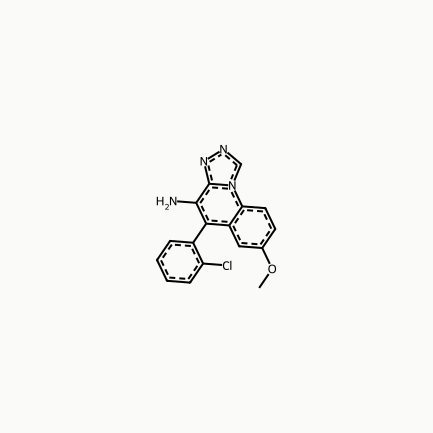 COc1ccc2c(c1)c(-c1ccccc1Cl)c(N)c1nncn12